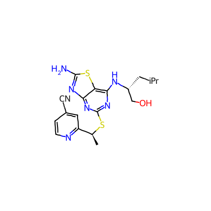 CC(C)C[C@H](CO)Nc1nc(S[C@@H](C)c2cc(C#N)ccn2)nc2nc(N)sc12